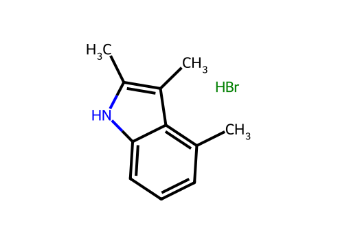 Br.Cc1[nH]c2cccc(C)c2c1C